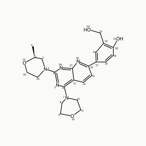 C[C@H]1CN(c2nc(N3CCOCC3)c3ccc(-c4ccc(O)c(CO)c4)nc3n2)CCO1